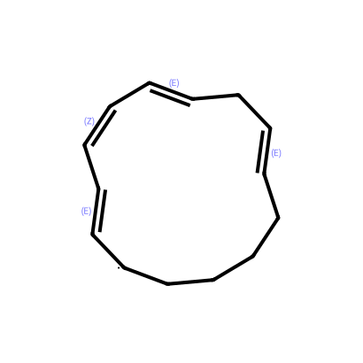 [CH]1/C=C/C=C\C=C\C/C=C/CCCC1